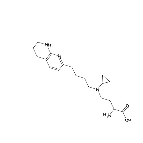 NC(CCN(CCCCc1ccc2c(n1)NCCC2)C1CC1)C(=O)O